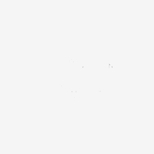 C=C(Oc1ccncc1)C(=O)O